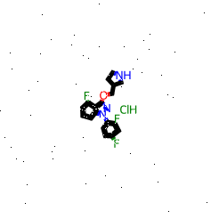 Cl.Fc1ccc(-n2nc(OCC3CCNC3)c3c(F)cccc32)c(F)c1